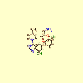 CC1CCN(c2ncnc3ccccc23)CC1.Cl.Cl.NCC1COc2ccccc2O1